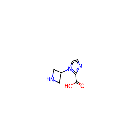 O=C(O)c1nccn1C1CNC1